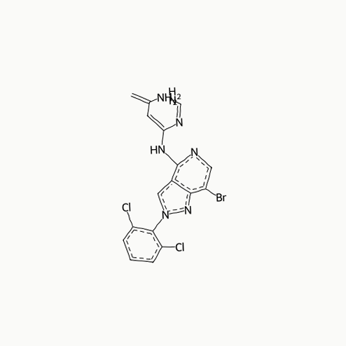 C=C(N)/C=C(\N=C/N)Nc1ncc(Br)c2nn(-c3c(Cl)cccc3Cl)cc12